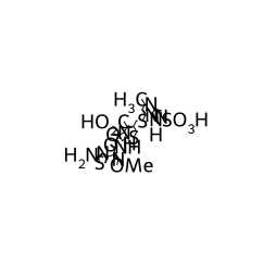 CON=C(C(=O)N[C@@H]1C(=O)N2C(C(=O)O)=C(CSC3=CC(C)=NC4=CN(S(=O)(=O)O)NN43)CS[C@H]12)c1csc(N)n1